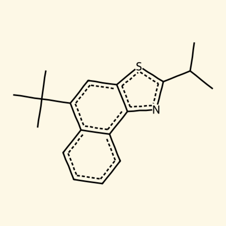 CC(C)c1nc2c(cc(C(C)(C)C)c3ccccc32)s1